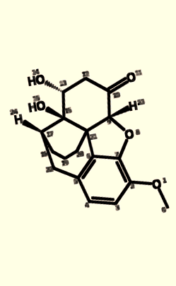 COc1ccc2c3c1O[C@H]1C(=O)C[C@@H](O)[C@@]4(O)[C@H](CCCC314)C2